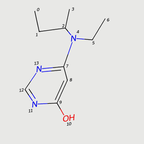 CCC(C)N(CC)c1cc(O)ncn1